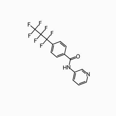 O=C(Nc1cccnc1)c1ccc(C(F)(F)C(F)(F)C(F)(F)F)cc1